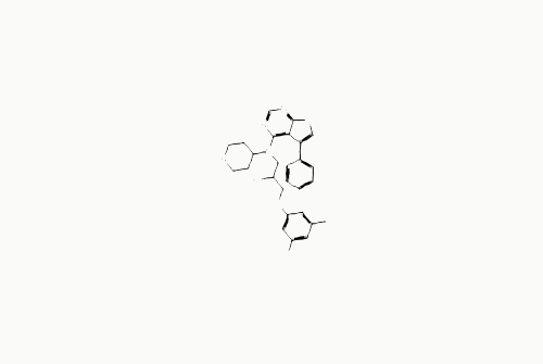 OC(COc1cc(F)cc(F)c1)CN(c1ncnc2scc(-c3ccccc3)c12)C1CCNCC1